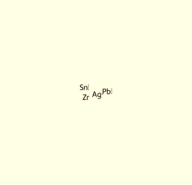 [Ag].[Pb].[Sn].[Zr]